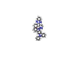 c1ccc(-c2c(-c3cnc4ccccc4n3)ccnc2-n2c3ccccc3c3cc4c(cc32)c2ccccc2n4-c2ccccc2)cc1